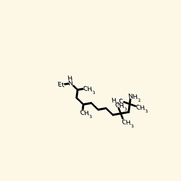 CCNC(C)CC(C)CCCCC(C)(C)CC(C)(C)N